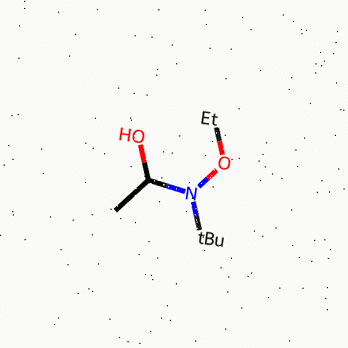 CCON(C(C)O)C(C)(C)C